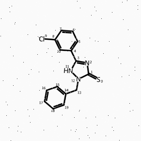 S=c1nc(-c2cccc(Cl)c2)[nH]n1Cc1ccccc1